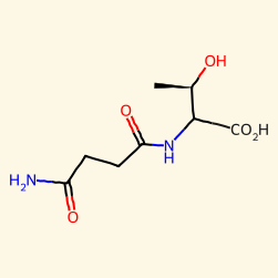 C[C@@H](O)C(NC(=O)CCC(N)=O)C(=O)O